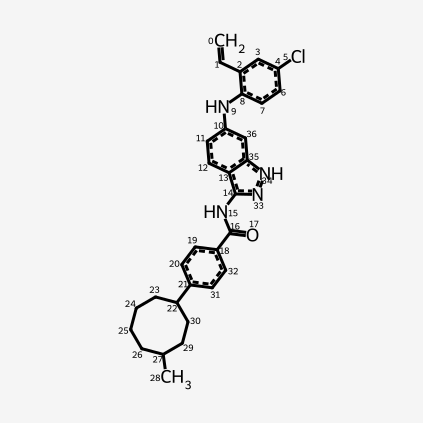 C=Cc1cc(Cl)ccc1Nc1ccc2c(NC(=O)c3ccc(C4CCCCC(C)CC4)cc3)n[nH]c2c1